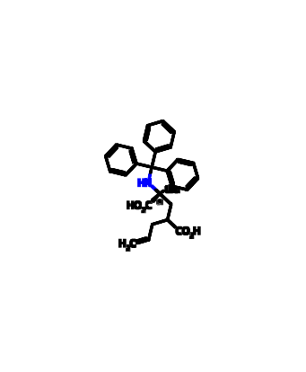 C=CCC(C[C@@](NC(c1ccccc1)(c1ccccc1)c1ccccc1)(C(=O)O)C(C)(C)C)C(=O)O